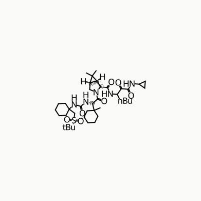 CCCCC(NC(=O)[C@@H]1[C@@H]2[C@H](CN1C(=O)[C@@H](NC(=O)NC1(CS(=O)(=O)C(C)(C)C)CCCCC1)C1(C)CCCCC1)C2(C)C)C(=O)C(=O)NC1CC1